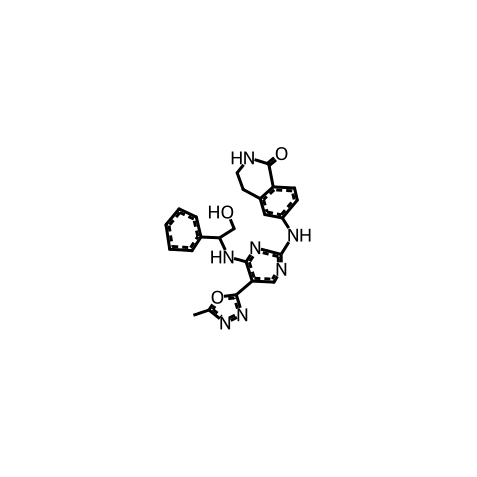 Cc1nnc(-c2cnc(Nc3ccc4c(c3)CCNC4=O)nc2NC(CO)c2ccccc2)o1